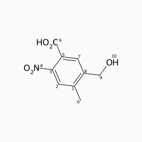 Cc1cc([N+](=O)[O-])c(C(=O)O)cc1CO